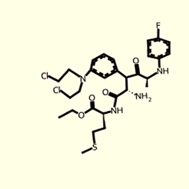 CCOC(=O)[C@H](CCSC)NC(=O)[C@@H](N)C(C(=O)[C@H](C)Nc1ccc(F)cc1)c1cccc(N(CCCl)CCCl)c1